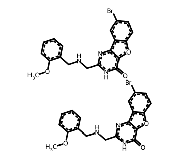 COc1ccccc1CNCc1nc2c(oc3ccc(Br)cc32)c(=O)[nH]1.COc1ccccc1CNCc1nc2c(oc3ccc(Br)cc32)c(=O)[nH]1